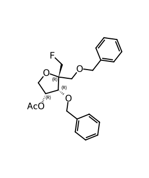 CC(=O)O[C@@H]1CO[C@](CF)(COCc2ccccc2)[C@@H]1OCc1ccccc1